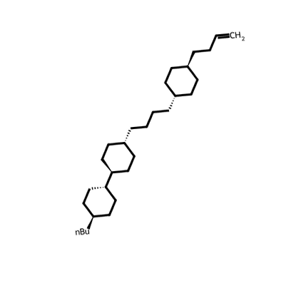 C=CCC[C@H]1CC[C@H](CCCC[C@H]2CC[C@H]([C@H]3CC[C@H](CCCC)CC3)CC2)CC1